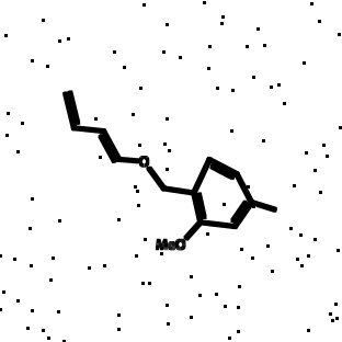 C=CC=COCc1ccc(C)cc1OC